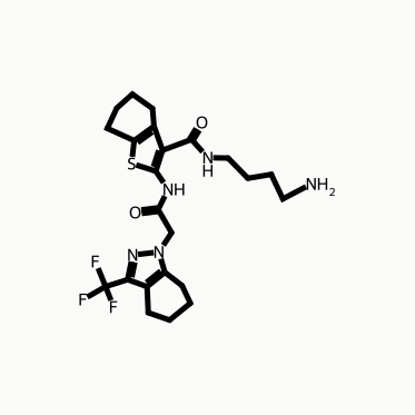 NCCCCNC(=O)c1c(NC(=O)Cn2nc(C(F)(F)F)c3c2CCCC3)sc2c1CCCC2